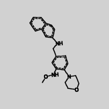 CONc1cc(CNc2ccc3ccccc3c2)ccc1N1CCOCC1